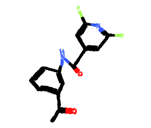 CC(=O)c1cccc(NC(=O)c2cc(F)nc(F)c2)c1